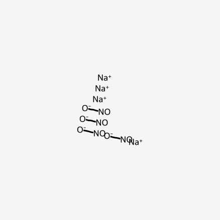 O=N[O-].O=N[O-].O=N[O-].O=N[O-].[Na+].[Na+].[Na+].[Na+]